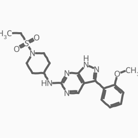 CCS(=O)(=O)N1CCC(Nc2ncc3c(-c4ccccc4OC)n[nH]c3n2)CC1